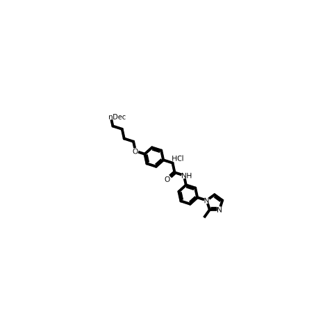 CCCCCCCCCCCCCCOc1ccc(CC(=O)Nc2cccc(-n3ccnc3C)c2)cc1.Cl